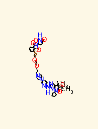 CC(=O)c1c(C)c2cnc(Nc3ccc(N4CCN(CCCOCCOCCSc5cccc6c5C(=O)N(C5CCC(=O)NC5=O)C6=O)CC4)cn3)nc2n(C2CCCC2)c1=O